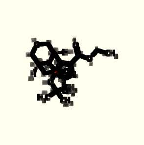 CCOC(=O)c1nn(C)c2c1[C@@H]1COC[C@H](C2)N1C(=O)OC(C)(C)C